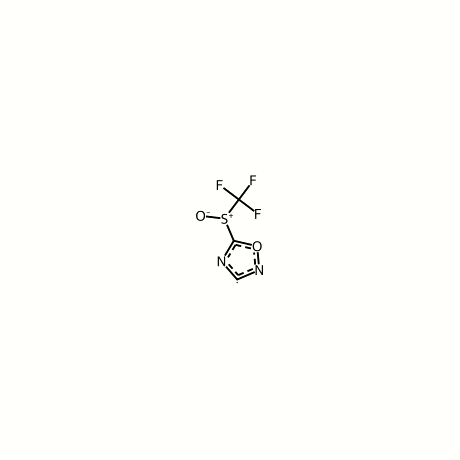 [O-][S+](c1n[c]no1)C(F)(F)F